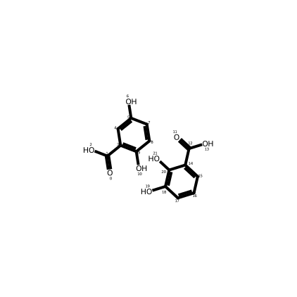 O=C(O)c1cc(O)ccc1O.O=C(O)c1cccc(O)c1O